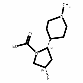 CCC(=O)N1C[C@@H](F)C[C@H]1C1CCN(C)CC1